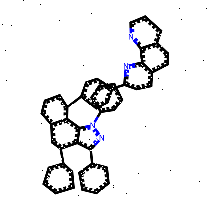 c1ccc(-c2cc3cccc(-c4ccc(-c5ccc6ccc7cccnc7c6n5)cc4)c3c3c2c(-c2ccccc2)nn3-c2ccccc2)cc1